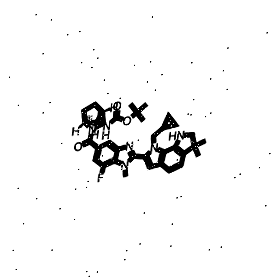 Cn1c(-c2cc3ccc4c(c3n2CC2CC2)NCC4(C)C)nc2cc(C(=O)N3C[C@H]4CC[C@@H]3[C@@H]4NC(=O)OC(C)(C)C)cc(F)c21